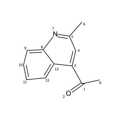 CC(=O)c1cc(C)nc2ccccc12